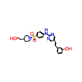 O=S(=O)(c1ccc(Nc2ncc(C=Cc3cccc(O)c3)cn2)cc1)N1CCC(CCO)CC1